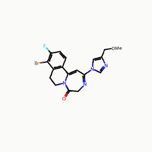 COCc1cn(C2=NCC(=O)N3CCc4c(ccc(F)c4Br)C3=C2)cn1